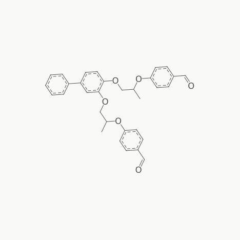 CC(COc1ccc(-c2ccccc2)cc1OCC(C)Oc1ccc(C=O)cc1)Oc1ccc(C=O)cc1